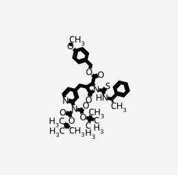 COc1ccc(COC(=O)C2C(Cc3ccnc(N(C(=O)OC(C)(C)C)C(=O)OC(C)(C)C)c3)C(=O)N2C(=S)N[C@H](C)c2ccccc2)cc1